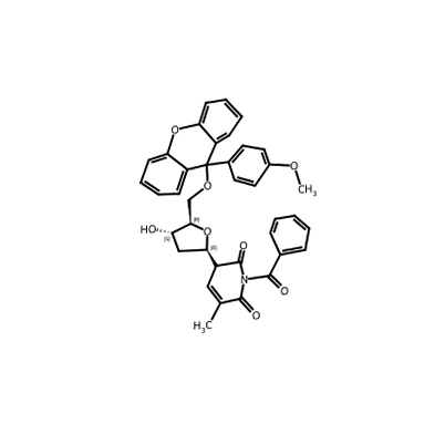 COc1ccc(C2(OC[C@H]3O[C@@H](C4C=C(C)C(=O)N(C(=O)c5ccccc5)C4=O)C[C@@H]3O)c3ccccc3Oc3ccccc32)cc1